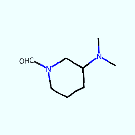 CN(C)C1CCCN(C=O)C1